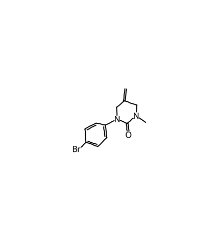 C=C1CN(C)C(=O)N(c2ccc(Br)cc2)C1